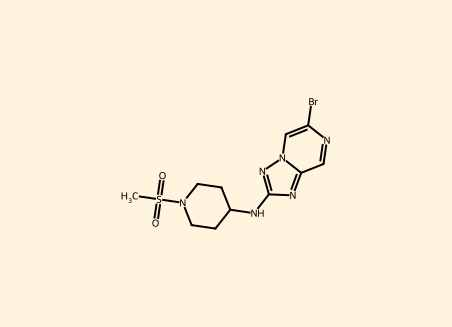 CS(=O)(=O)N1CCC(Nc2nc3cnc(Br)cn3n2)CC1